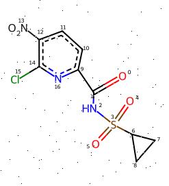 O=C(NS(=O)(=O)C1CC1)c1ccc([N+](=O)[O-])c(Cl)n1